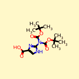 CC(C)(C)OC(=O)N(C(=O)OC(C)(C)C)c1nc(C(=O)O)c[nH]1